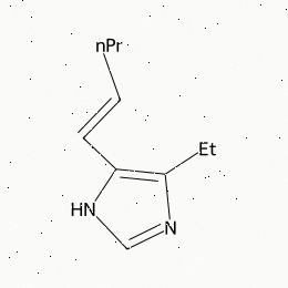 CCCC=Cc1[nH]cnc1CC